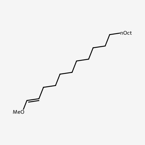 [CH2]OC=CCCCCCCCCCCCCCCCCC